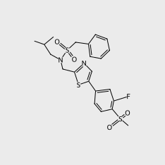 CC(C)CN(Cc1ncc(-c2ccc(S(C)(=O)=O)c(F)c2)s1)S(=O)(=O)Cc1ccccc1